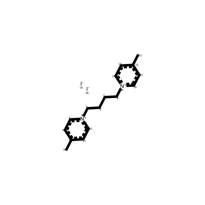 Cc1cc[n+](CCCC[n+]2ccc(C)cc2)cc1.[I-].[I-]